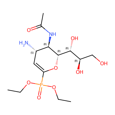 CCOP(=O)(OCC)C1=C[C@H](N)[C@@H](NC(C)=O)[C@H]([C@H](O)[C@H](O)CO)O1